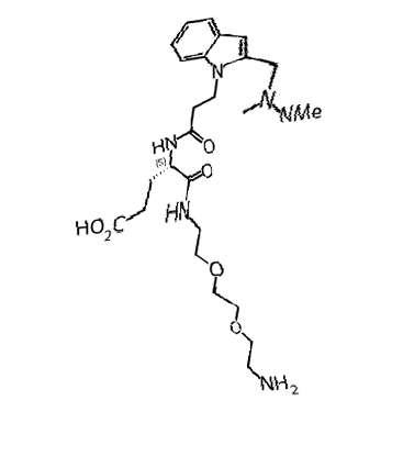 CNN(C)Cc1cc2ccccc2n1CCC(=O)N[C@@H](CCC(=O)O)C(=O)NCCOCCOCCN